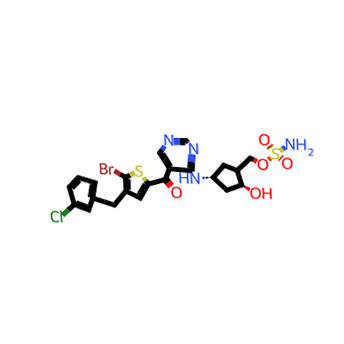 NS(=O)(=O)OCC1C[C@@H](Nc2ncncc2C(=O)c2cc(Cc3cccc(Cl)c3)c(Br)s2)C[C@@H]1O